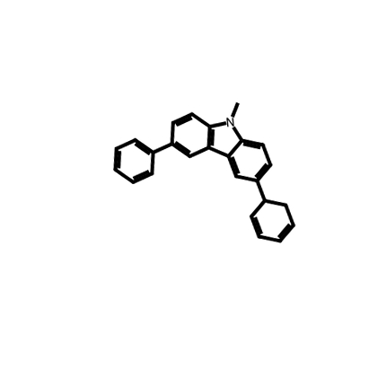 Cn1c2ccc(-c3ccccc3)cc2c2cc(C3C=CC=CC3)ccc21